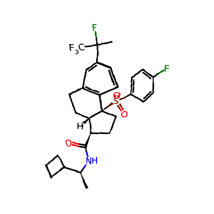 C[C@H](NC(=O)[C@@H]1CC[C@@]2(S(=O)(=O)c3ccc(F)cc3)c3ccc(C(C)(F)C(F)(F)F)cc3CC[C@@H]12)C1CCC1